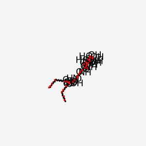 CCCCCCCC/C=C\CCCCCCCC(=O)OC[C@H](COP(=O)(O)OCCNC(=O)CCCCC(=O)NCCCO[C@@H]1OC(CO)[C@@H](O[C@@H]2OC(CO)[C@H](O)C(O[C@H]3OC(CO)[C@H](O)[C@H](O)C3O)[C@@H]2O)C(O)[C@@H]1NC(C)=O)OC(=O)CCCCCCC/C=C\CCCCCCCC